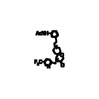 CC(=O)Nc1cccc(CCN2CCC3(CC2)CN(Cc2ccc(C(F)(F)F)cn2)C(=O)CO3)c1